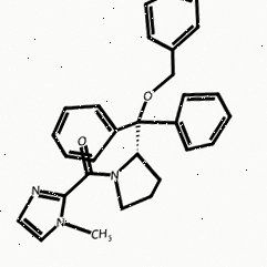 Cn1ccnc1C(=O)N1CCC[C@H]1C(OCc1ccccc1)(c1ccccc1)c1ccccc1